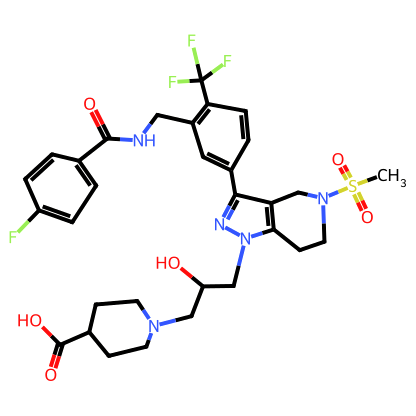 CS(=O)(=O)N1CCc2c(c(-c3ccc(C(F)(F)F)c(CNC(=O)c4ccc(F)cc4)c3)nn2CC(O)CN2CCC(C(=O)O)CC2)C1